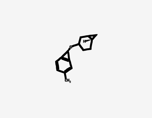 Cc1ccc2c(c1)[C@@H]2OC1CC[C@@H]2CC2C1